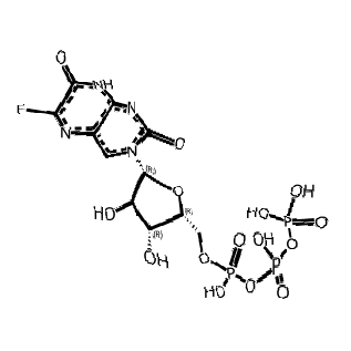 O=c1[nH]c2nc(=O)n([C@@H]3O[C@H](COP(=O)(O)OP(=O)(O)OP(=O)(O)O)[C@H](O)C3O)cc2nc1F